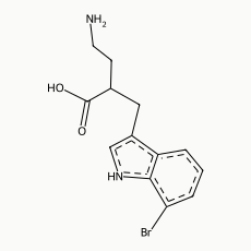 NCCC(Cc1c[nH]c2c(Br)cccc12)C(=O)O